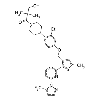 CCc1cc(OCc2cc(C)sc2-c2cccc(-n3nccc3C(F)(F)F)n2)ccc1C1CCN(C(=O)C(C)(C)CO)CC1